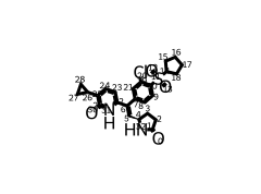 O=C1CC[C@H](/C=C(\c2ccc(S(=O)(=O)C3CCCC3)c(Cl)c2)c2ccc(C3CC3)c(=O)[nH]2)N1